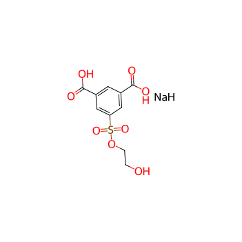 O=C(O)c1cc(C(=O)O)cc(S(=O)(=O)OCCO)c1.[NaH]